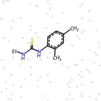 CCNC(=S)Nc1ccc(C)cc1C